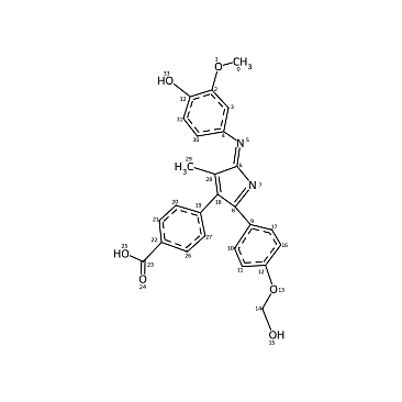 COc1cc(N=C2N=C(c3ccc(OCO)cc3)C(c3ccc(C(=O)O)cc3)=C2C)ccc1O